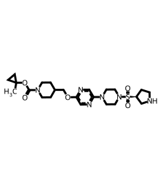 CC1(OC(=O)N2CCC(COc3cnc(N4CCN(S(=O)(=O)[C@H]5CCNC5)CC4)cn3)CC2)CC1